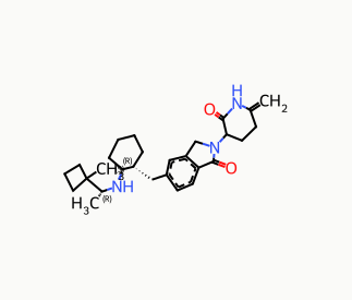 C=C1CCC(N2Cc3cc(C[C@H]4CCCC[C@@H]4N[C@H](C)C4(C)CCC4)ccc3C2=O)C(=O)N1